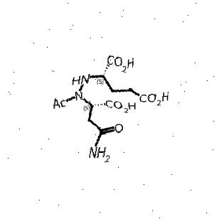 CC(=O)N(N[C@@H](CCC(=O)O)C(=O)O)[C@@H](CC(N)=O)C(=O)O